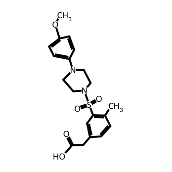 COc1ccc(N2CCN(S(=O)(=O)c3cc(CC(=O)O)ccc3C)CC2)cc1